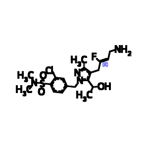 Cc1nn(Cc2ccc(S(=O)(=O)N(C)C)c(Cl)c2)c(C(C)O)c1C/C(F)=C/CN